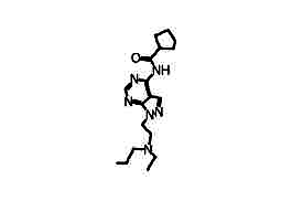 CCCN(CC)CCn1ncc2c(NC(=O)C3CCCC3)ncnc21